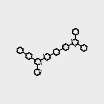 c1ccc(-c2ccc(-c3cc(-c4ccccn4)nc(-c4ccc(-c5ccc(-c6ccc(-c7nc(-c8ccccc8)cc(-c8ccccc8)n7)cc6)cc5)cn4)c3)cc2)cc1